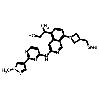 CSCC1CN(c2ccc(C(C)CO)c3cc(Nc4ccnc(-c5cnn(C)c5)n4)ncc23)C1